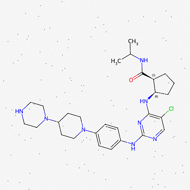 CC(C)NC(=O)[C@H]1CCC[C@H]1Nc1nc(Nc2ccc(N3CCC(N4CCNCC4)CC3)cc2)ncc1Cl